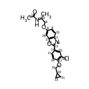 CC(=O)N[C@@H](C)COc1ccc2nc(-c3ccc(OCC4CC4)c(Cl)c3)oc2c1